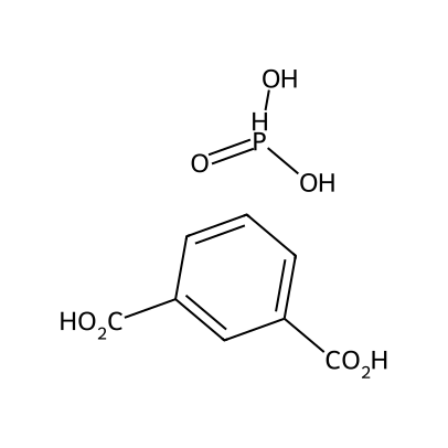 O=C(O)c1cccc(C(=O)O)c1.O=[PH](O)O